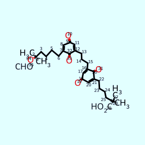 CC(C)(CCCCC1=CC(=O)C=C(CCCC2=CC(=O)C=C(CCCCC(C)(C)C(=O)O)C2=O)C1=O)OC=O